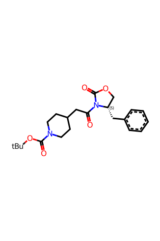 CC(C)(C)OC(=O)N1CCC(CC(=O)N2C(=O)OC[C@@H]2Cc2ccccc2)CC1